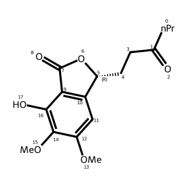 CCCC(=O)CC[C@H]1OC(=O)c2c1cc(OC)c(OC)c2O